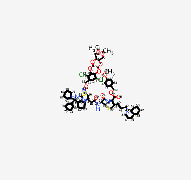 COCCOCOc1c(Cl)cc(CON=S2C=C(CC(=O)NC3C(=O)N4C(C(=O)OCc5ccc(OC)cc5)=C(C=CC[n+]5cccc6ccccc65)CSC34)N=C2NC(c2ccccc2)(c2ccccc2)c2ccccc2)c(Cl)c1OCOCCOC